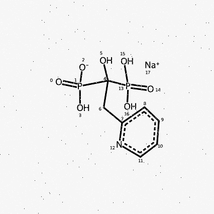 O=P([O-])(O)C(O)(Cc1ccccn1)P(=O)(O)O.[Na+]